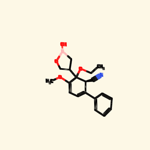 CCOC1(C2COB(O)C2)C(OC)=CC=C(c2ccccc2)[C@@H]1C#N